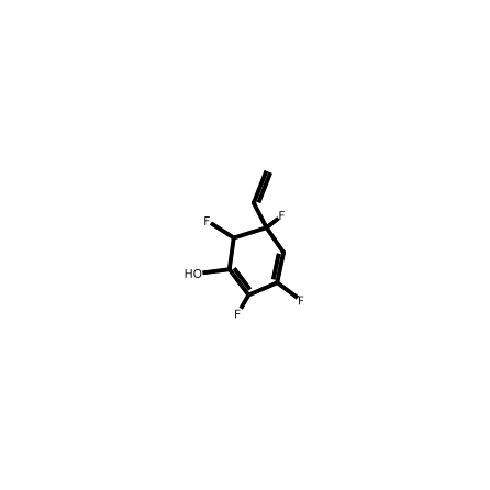 C=CC1(F)C=C(F)C(F)=C(O)C1F